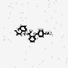 O=C(Nc1cccc2ncccc12)c1ccccc1Sc1ccc([N+](=O)[O-])cc1